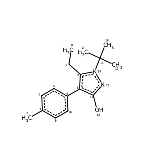 CCc1c(-c2ccc(C)cc2)c(O)nn1C(C)(C)C